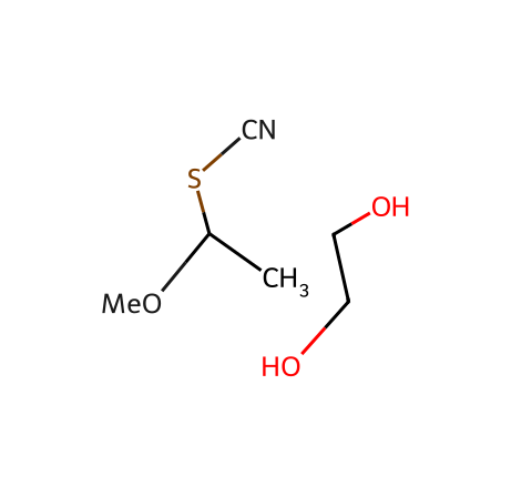 COC(C)SC#N.OCCO